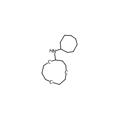 C1CCCCCC(NC2CCCCCCC2)CCCC1